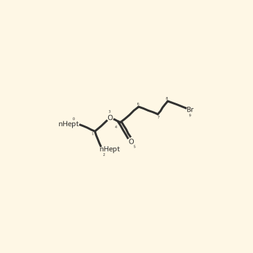 CCCCCCCC(CCCCCCC)OC(=O)CCCBr